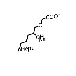 CCCCCCCCCCC(O)COCC(=O)[O-].[Na+]